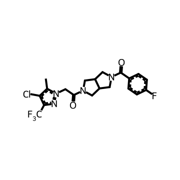 Cc1c(Cl)c(C(F)(F)F)nn1CC(=O)N1CC2CN(C(=O)c3ccc(F)cc3)CC2C1